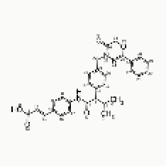 CC(C)C(C(=O)Nc1ccc(/C=C/C(=O)O)cc1)c1ccc(CN2N=C(c3ccccc3)OCC2=O)cc1